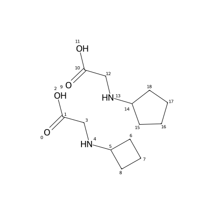 O=C(O)CNC1CCC1.O=C(O)CNC1CCCC1